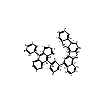 c1ccc(-c2c3ccccc3c(-c3cccc(-c4cc5c(sc6ccc7c8ccccc8sc7c65)c5ccccc45)c3)c3ccccc23)cc1